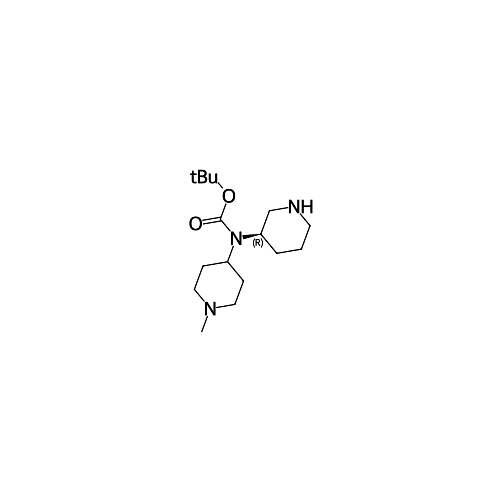 CN1CCC(N(C(=O)OC(C)(C)C)[C@@H]2CCCNC2)CC1